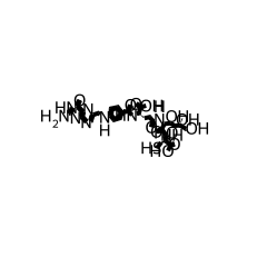 Nc1nc2ncc(CNc3ccc(C(=O)N[C@@H](CCC(=O)NC(C(=O)N[C@H](CS)C(=O)O)C(O)[C@H](O)[C@H](O)CO)C(=O)O)cc3)nc2c(=O)[nH]1